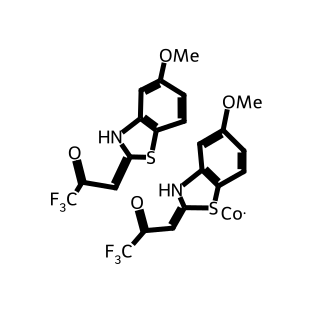 COc1ccc2c(c1)NC(=CC(=O)C(F)(F)F)S2.COc1ccc2c(c1)NC(=CC(=O)C(F)(F)F)S2.[Co]